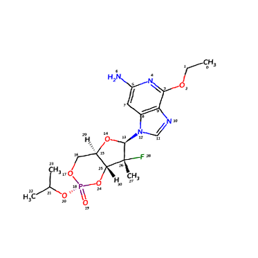 CCOc1nc(N)cc2c1ncn2[C@@H]1O[C@@H]2CO[P@@](=O)(OC(C)C)O[C@H]2[C@@]1(C)F